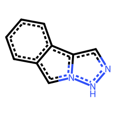 c1ccc2c(c1)cn1[nH]ncc21